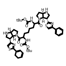 CC(C)(C)OC(=O)NC(CCCCC(NC(=O)OC(C)(C)C)C(=O)N1CC[C@H]2NC[C@H](c3nc(-c4ccccc4)cs3)[C@H]21)C(=O)N1CC[C@H]2NC[C@H](c3csc(C4=CC=CCC4)n3)[C@H]21